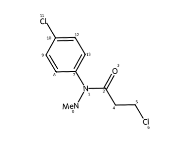 CNN(C(=O)CCCl)c1ccc(Cl)cc1